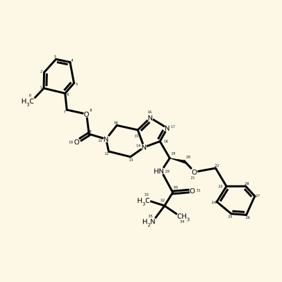 Cc1ccccc1COC(=O)N1CCn2c(nnc2[C@@H](COCc2ccccc2)NC(=O)C(C)(C)N)C1